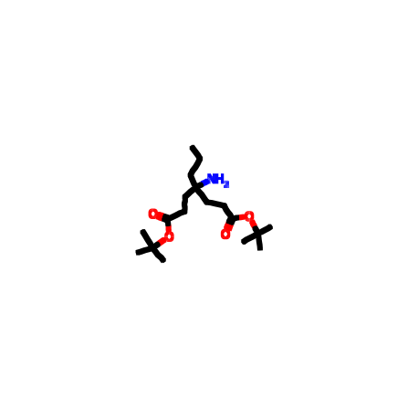 CCCC(N)(CCC(=O)OC(C)(C)C)CCC(=O)OC(C)(C)C